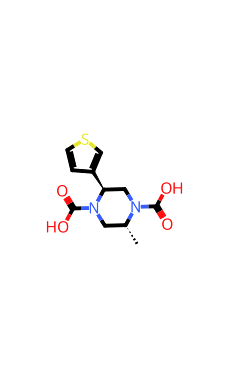 C[C@@H]1CN(C(=O)O)[C@@H](c2ccsc2)CN1C(=O)O